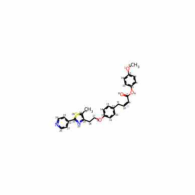 COc1ccc(OC(=O)/C=C\Cc2ccc(OCCc3nc(-c4ccncc4)sc3C)cc2)cc1